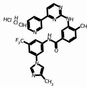 Cc1cn(-c2cc(NC(=O)c3ccc(C)c(Nc4nccc(-c5cccnc5)n4)c3)cc(C(F)(F)F)c2)cn1.Cl.Cl.Cl